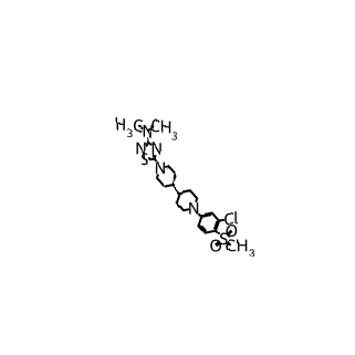 CN(C)c1nsc(N2CCC(C3CCN(c4ccc(S(C)(=O)=O)c(Cl)c4)CC3)CC2)n1